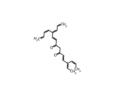 C=C\C=C/C(/C=C/C(=O)CC(=O)/C=C/C(/C=C\C)=C/C)=C\C=C